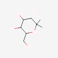 CC1(C)OC(CO)C(O)C(O)[C@@H]1O